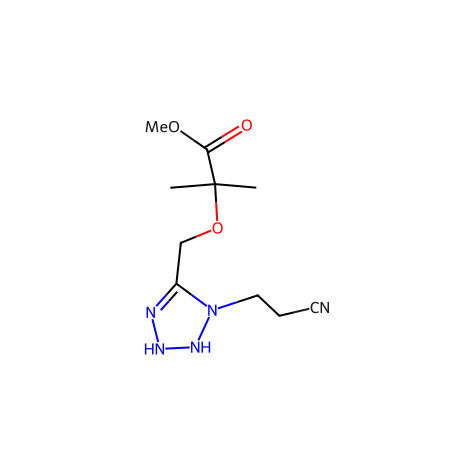 COC(=O)C(C)(C)OCC1=NNNN1CCC#N